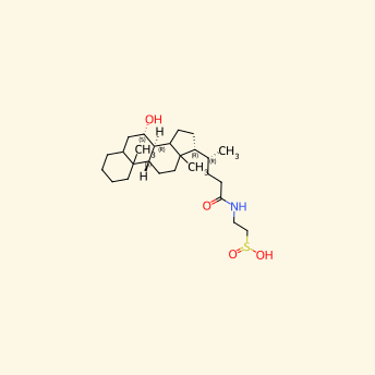 C[C@H](CCC(=O)NCCS(=O)O)[C@H]1CCC2[C@@H]3[C@@H](O)CC4CCCCC4(C)[C@H]3CCC21C